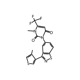 Cc1cscc1-c1nsc2ccc(-n3c(=O)cc(C(F)(F)F)n(C)c3=O)cc12